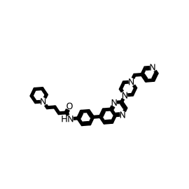 O=C(CCCN1CCCCC1)Nc1ccc(-c2ccc3ncc(N4CCN(Cc5cccnc5)CC4)nc3c2)cc1